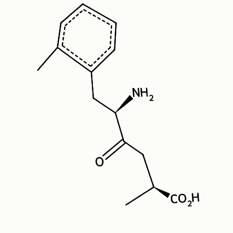 Cc1ccccc1C[C@@H](N)C(=O)C[C@H](C)C(=O)O